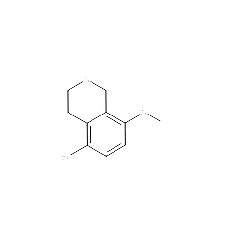 CCNc1ccc(Br)c2c1CNCC2